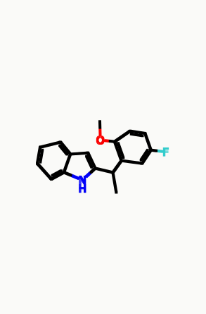 COc1ccc(F)cc1C(C)c1cc2ccccc2[nH]1